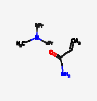 C=CC(N)=O.CCCN(C)CCC